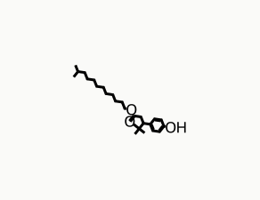 CC(C)CCCCCCCCCCOC(=O)CC(c1ccc(O)cc1)C(C)(C)C